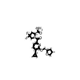 NC(=O)[C@@H]1CC(F)(F)CN1C(=O)c1ccc(C2CC2)c(OC[C@H]2CCCO2)n1